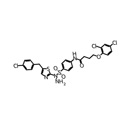 NN(c1ncc(Cc2ccc(Cl)cc2)s1)S(=O)(=O)c1ccc(NC(=O)CCCOc2ccc(Cl)cc2Cl)cc1